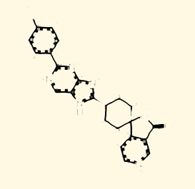 O=C1O[C@]2(CC[C@H](c3nc4nc(-c5ccc(F)cc5)ncc4[nH]3)CC2)c2ccncc21